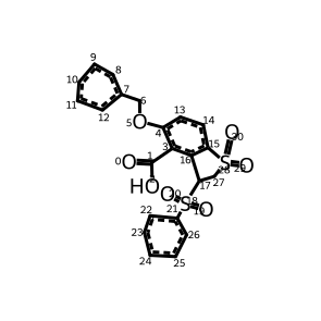 O=C(O)c1c(OCc2ccccc2)ccc2c1C(S(=O)(=O)c1ccccc1)CS2(=O)=O